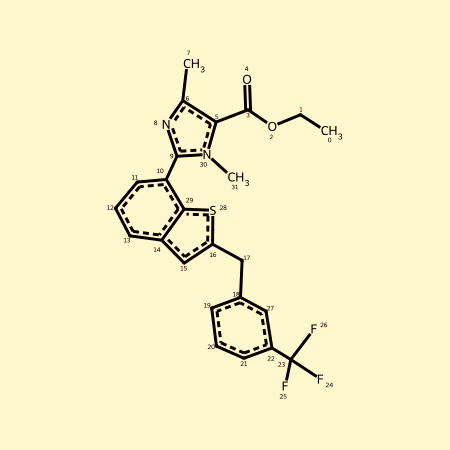 CCOC(=O)c1c(C)nc(-c2cccc3cc(Cc4cccc(C(F)(F)F)c4)sc23)n1C